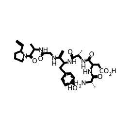 C=CC1CCCN1C(=O)C(C)NC(=O)CNC(=C)C(Cc1ccc(O)cc1)NC(=O)[C@H](C)NC(=O)C(CC(=O)O)NC(=O)[C@H](C)N